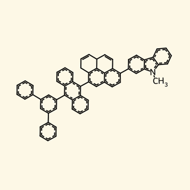 Cn1c2ccccc2c2ccc(-c3ccc4cc(-c5c6ccccc6c(-c6cc(-c7ccccc7)cc(-c7ccccc7)c6)c6ccccc56)c5c6c4c3C=CC6C=CC5)cc21